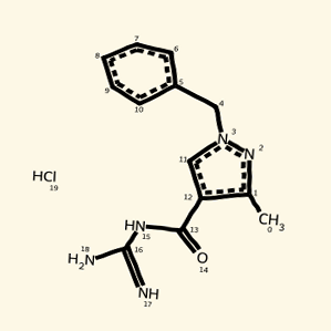 Cc1nn(Cc2ccccc2)cc1C(=O)NC(=N)N.Cl